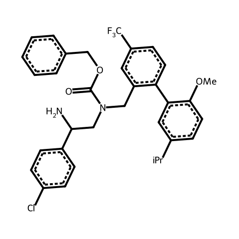 COc1ccc(C(C)C)cc1-c1ccc(C(F)(F)F)cc1CN(CC(N)c1ccc(Cl)cc1)C(=O)OCc1ccccc1